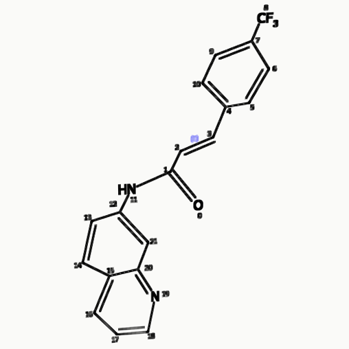 O=C(/C=C/c1ccc(C(F)(F)F)cc1)Nc1ccc2cccnc2c1